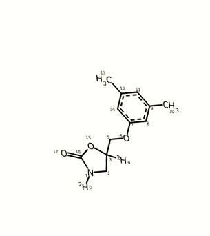 [2H]N1CC([2H])(COc2cc(C)cc(C)c2)OC1=O